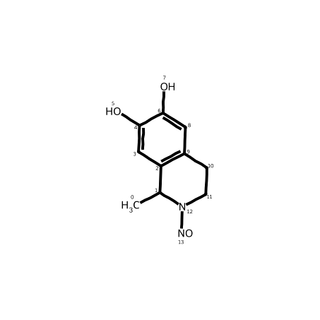 CC1c2cc(O)c(O)cc2CCN1N=O